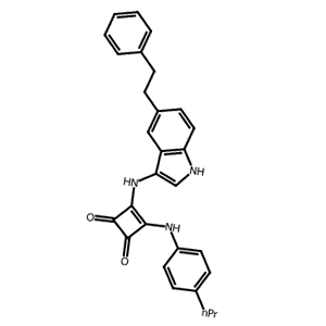 CCCc1ccc(Nc2c(Nc3c[nH]c4ccc(CCc5ccccc5)cc34)c(=O)c2=O)cc1